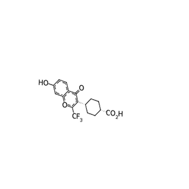 O=c1c2ccc(O)cc2oc(C(F)(F)F)c1[C@H]1CC[C@@H](C(=O)O)CC1